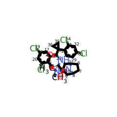 CN(C)C1CC2CCC(C1)N2C(=O)[C@H](Cc1ccc(Cl)cc1Cl)NC(=O)C1(c2ccc(Cl)cc2Cl)CC1